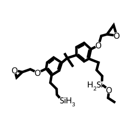 CCO[SiH2]CCCc1cc(C(C)(C)c2ccc(OCC3CO3)c(CCC[SiH3])c2)ccc1OCC1CO1